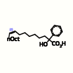 CCCCCCCC/C=C\CCCCCCC(O)(C(=O)O)c1ccccc1